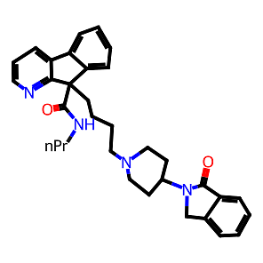 CCCNC(=O)C1(CCCCN2CCC(N3Cc4ccccc4C3=O)CC2)c2ccccc2-c2cccnc21